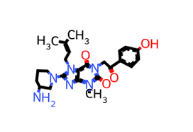 CC(C)=CCn1c(N2CCCC(N)C2)nc2c1c(=O)n(CC(=O)c1ccc(O)cc1)c(=O)n2C